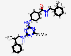 CNc1nc(NCC(C)c2ccccc2)nc(NC2CCC(C(=O)NCc3ccccc3C(F)(F)F)CC2)n1